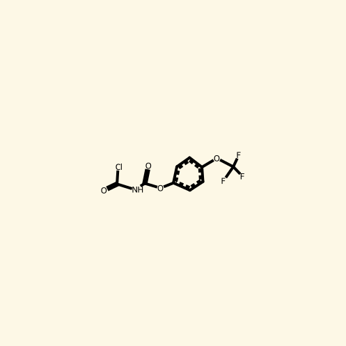 O=C(Cl)NC(=O)Oc1ccc(OC(F)(F)F)cc1